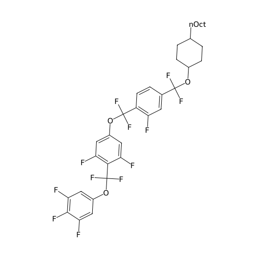 CCCCCCCCC1CCC(OC(F)(F)c2ccc(C(F)(F)Oc3cc(F)c(C(F)(F)Oc4cc(F)c(F)c(F)c4)c(F)c3)c(F)c2)CC1